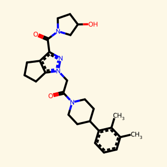 Cc1cccc(C2CCN(C(=O)Cn3nc(C(=O)N4CCC(O)C4)c4c3CCC4)CC2)c1C